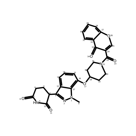 Cn1nc(C2CCC(=O)NC2=O)c2cccc(OC3CCN(C(=O)c4coc5ccccc5c4=O)CC3)c21